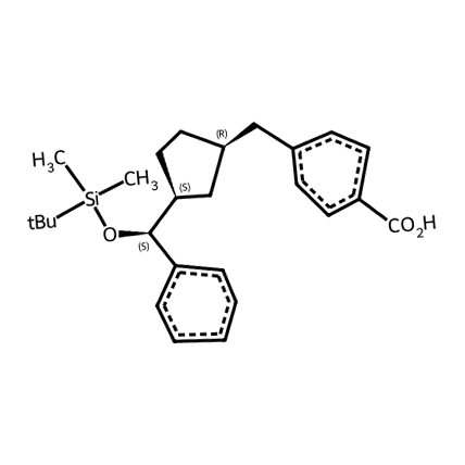 CC(C)(C)[Si](C)(C)O[C@H](c1ccccc1)[C@H]1CC[C@@H](Cc2ccc(C(=O)O)cc2)C1